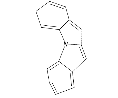 C1=Cc2cc3cc4ccccc4n3c2=CC1